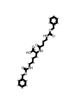 O=C(CCCNC(=O)OCc1ccccc1)NC(CCCCNC(=O)OCc1ccccc1)C(=O)O